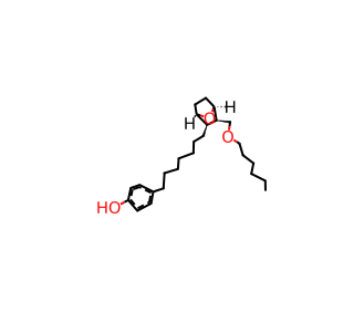 CCCCCCOC[C@H]1[C@@H](CCCCCCCc2ccc(O)cc2)[C@H]2CC[C@@H]1O2